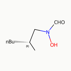 CCCC[C@@H](C)CN(O)C=O